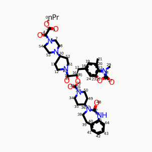 CCCOC(=O)C(=O)N1CCN(C2CCN(C(=O)[C@@H](Cc3cc(C)c4c(c3)oc(=O)n4C)OC(=O)N3CCC(N4CCc5ccccc5NC4=O)CC3)CC2)CC1